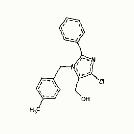 Cc1ccc(Cn2c(-c3ccccc3)nc(Cl)c2CO)cc1